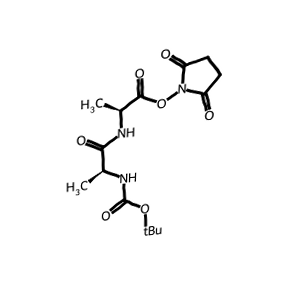 C[C@H](NC(=O)OC(C)(C)C)C(=O)N[C@@H](C)C(=O)ON1C(=O)CCC1=O